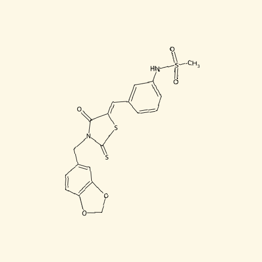 CS(=O)(=O)Nc1cccc(C=C2SC(=S)N(Cc3ccc4c(c3)OCO4)C2=O)c1